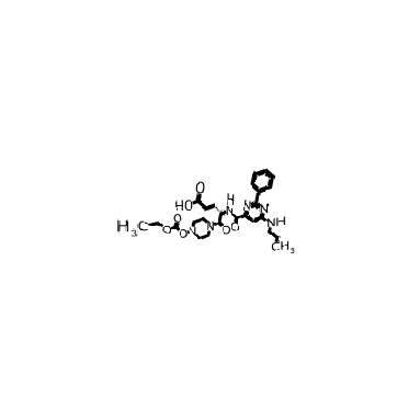 CCCNc1cc(C(=O)N[C@@H](CCC(=O)O)C(=O)N2CCN(OC(=O)OCC)CC2)nc(-c2ccccc2)n1